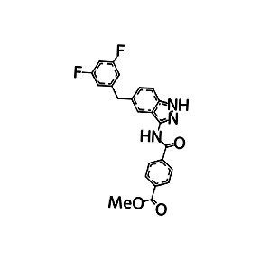 COC(=O)c1ccc(C(=O)Nc2n[nH]c3ccc(Cc4cc(F)cc(F)c4)cc23)cc1